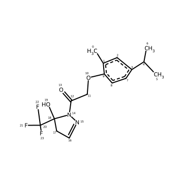 Cc1cc(C(C)C)ccc1OCC(=O)N1N=CCC1(O)C(F)(F)F